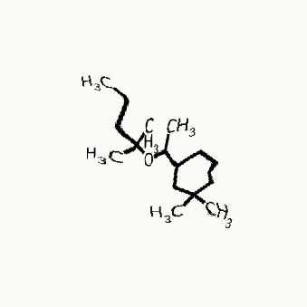 CCCC(C)(C)OC(C)C1CCCC(C)(C)C1